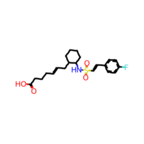 O=C(O)CCCC=CCC1CCCCC1NS(=O)(=O)C=Cc1ccc(F)cc1